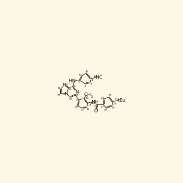 [C-]#[N+]c1ccc(Nc2nc(-c3cccc(NC(=O)c4ccc(C(C)(C)C)cc4)c3C)cn3ccnc23)cc1